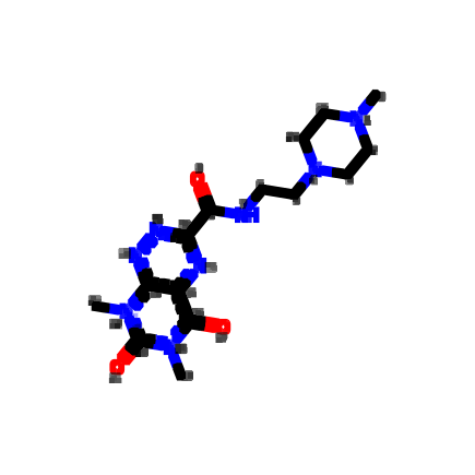 CN1CCN(CCNC(=O)c2nnc3c(n2)c(=O)n(C)c(=O)n3C)CC1